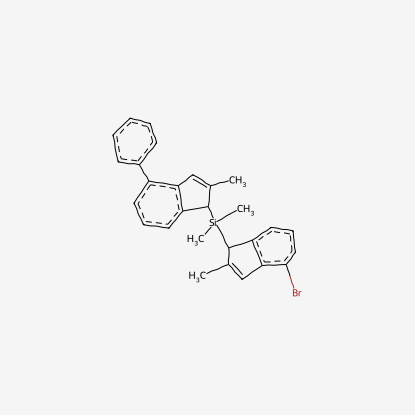 CC1=Cc2c(Br)cccc2C1[Si](C)(C)C1C(C)=Cc2c(-c3ccccc3)cccc21